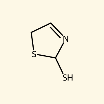 SC1N=CCS1